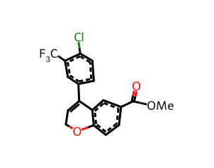 COC(=O)c1ccc2c(c1)C(c1ccc(Cl)c(C(F)(F)F)c1)=CCO2